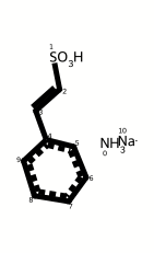 N.O=S(=O)(O)C=Cc1ccccc1.[Na]